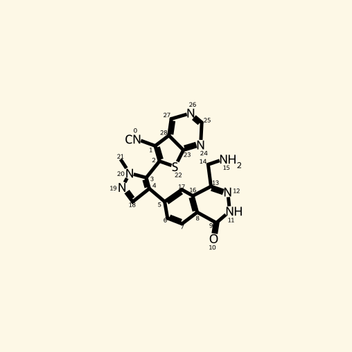 [C-]#[N+]c1c(-c2c(-c3ccc4c(=O)[nH]nc(CN)c4c3)cnn2C)sc2ncncc12